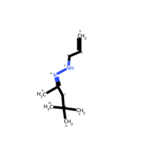 C=CCNN=C(C)CC(C)(C)C